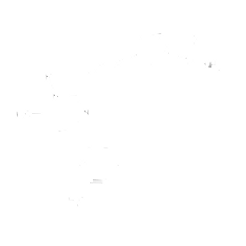 Cc1cc(-c2cc(C(F)(F)F)n3ncc(C#Cc4ccc(S(N)(=O)=O)s4)c3n2)ccc1Cl